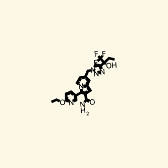 CCOc1ccc(-c2c(C(N)=O)cc3cc(Cn4cc(C(O)(CC)C(F)(F)F)nn4)ccn23)cn1